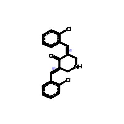 O=C1/C(=C\c2ccccc2Cl)CNC/C1=C\c1ccccc1Cl